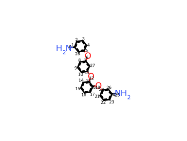 Nc1cccc(Oc2cccc(Oc3ccccc3Oc3cccc(N)c3)c2)c1